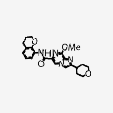 COc1nc(C(=O)Nc2cccc3c2OCCC3)cn2cc(C3CCOCC3)nc12